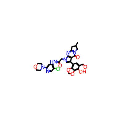 CC1Cc2nc3c(c(-c4cc(C=O)c(O)c5c4OCO5)cn3CC(=O)Nc3cc(N4CCOCC4)ncc3Cl)c(=O)n2C1